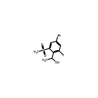 CC(C)c1cc(F)c(C(C)O)c(S(C)(=O)=O)c1